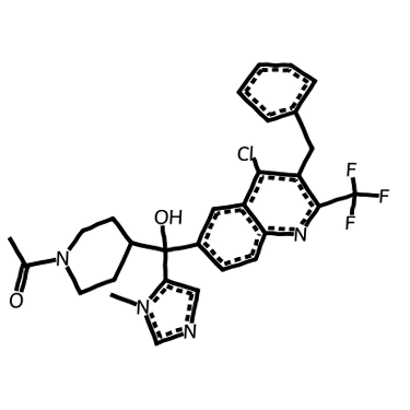 CC(=O)N1CCC(C(O)(c2ccc3nc(C(F)(F)F)c(Cc4ccccc4)c(Cl)c3c2)c2cncn2C)CC1